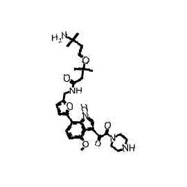 COc1ccc(-c2ccc(CNC(=O)CC(C)(C)OCCC(C)(C)N)o2)c2[nH]cc(C(=O)C(=O)N3CCNCC3)c12